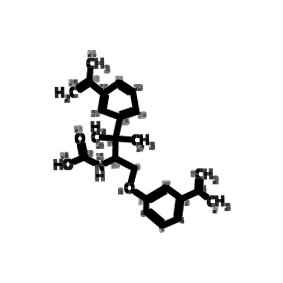 C=C(C)c1cccc(OCC(NC(=O)O)C(C)(C)c2cccc(C(=C)C)c2)c1